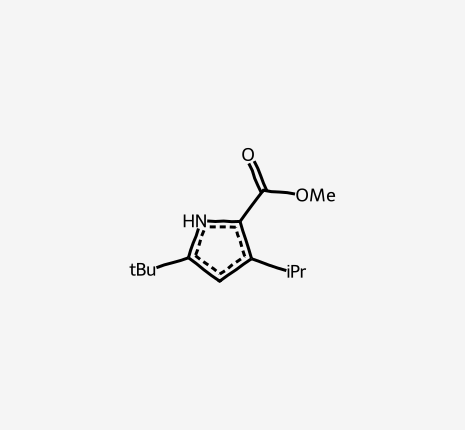 COC(=O)c1[nH]c(C(C)(C)C)cc1C(C)C